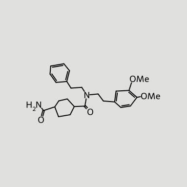 COc1ccc(CCN(CCc2ccccc2)C(=O)C2CCC(C(N)=O)CC2)cc1OC